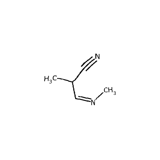 C/N=C\C(C)C#N